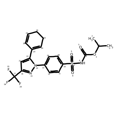 CC(C)OC(=O)NS(=O)(=O)c1ccc(-n2nc(C(F)(F)F)cc2C2=CCCC=C2)cc1